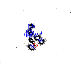 O=C(c1ccc(Nc2nc(NC3CCC(N4CCCCC4)CC3)nc3c2ncn3-c2cnccn2)cc1)N1CCCCC1